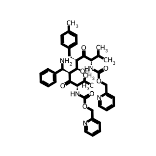 Cc1ccc(C[C@H](C(=O)[C@@H](NC(=O)OCc2ccccn2)C(C)C)[C@@H](O)[C@@H](C(=O)[C@@H](NC(=O)OCc2ccccn2)C(C)C)C(N)c2ccccc2)cc1